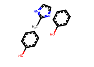 Cc1ncc[nH]1.Oc1ccccc1.Oc1ccccc1